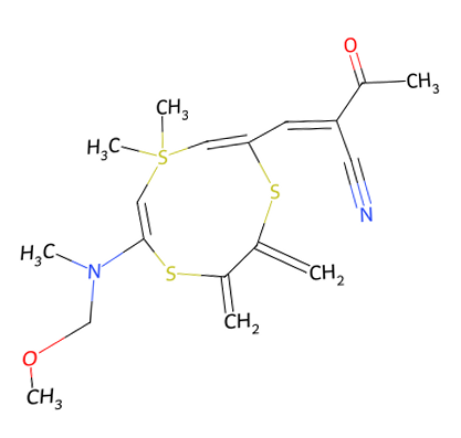 C=C1SC(/C=C(\C#N)C(C)=O)=C\S(C)(C)/C=C(/N(C)COC)SC1=C